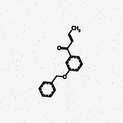 CC=CC(=O)c1cccc(OCc2ccccc2)c1